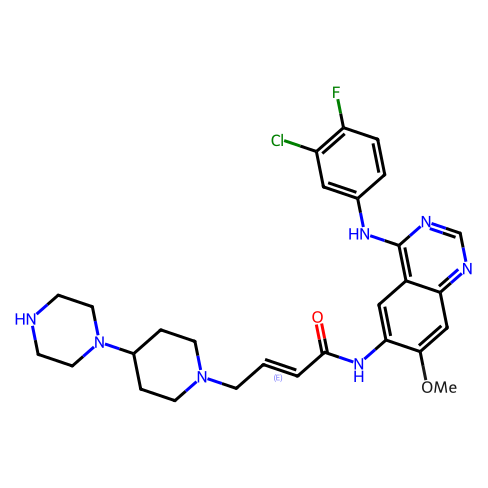 COc1cc2ncnc(Nc3ccc(F)c(Cl)c3)c2cc1NC(=O)/C=C/CN1CCC(N2CCNCC2)CC1